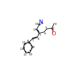 CC(=O)CCC(C=Cc1ccccc1)=CC#N